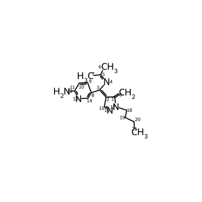 C=c1/c(=C(\N=C(C)C)c2ccc(N)nc2)cnn1CCCC